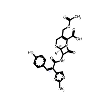 CC(=O)OCC1=C(C(=O)O)N2C(=O)C(NC(=O)/C(=C\c3ccc(O)cc3)c3csc(N)n3)[C@H]2SC1